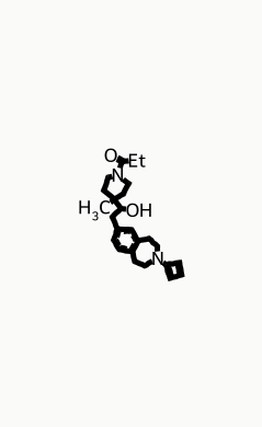 CCC(=O)N1CCC(C)(C(O)Cc2ccc3c(c2)CCN(C2=CC=C2)CC3)CC1